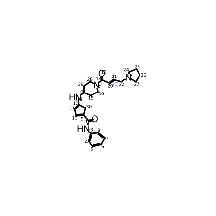 O=C(Nc1ccccc1)C1=CC=C(NC2CCN(C(=O)/C=C/CN3CCCC3)CC2)C1